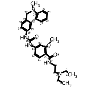 CCN(CC)CCNC(=O)c1ccc(NC(=O)Nc2ccc(CN(C)c3ccccc3)cc2)cc1OC